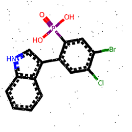 O=P(O)(O)c1cc(Br)c(Cl)cc1-c1c[nH]c2ccccc12